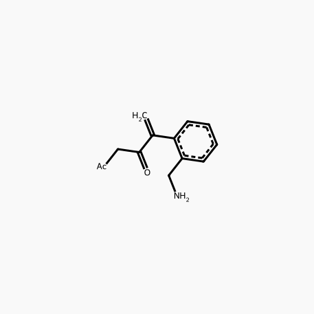 C=C(C(=O)CC(C)=O)c1ccccc1CN